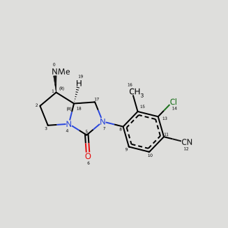 CN[C@@H]1CCN2C(=O)N(c3ccc(C#N)c(Cl)c3C)C[C@H]12